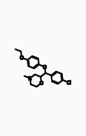 CCOc1ccc(OC(c2ccc(Cl)cc2)C2CN(C)CCO2)cc1